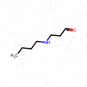 CCCCNCCC=O